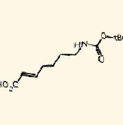 CC(C)(C)OC(=O)NCCCC/C=C/C(=O)O